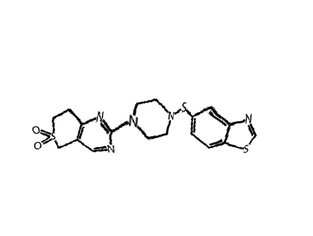 O=S1(=O)CCc2nc(N3CCN(Sc4ccc5scnc5c4)CC3)ncc2C1